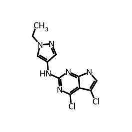 CCn1cc(Nc2nc(Cl)c3c(n2)[N]C=C3Cl)cn1